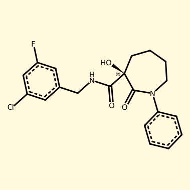 O=C(NCc1cc(F)cc(Cl)c1)[C@]1(O)CCCCN(c2ccccc2)C1=O